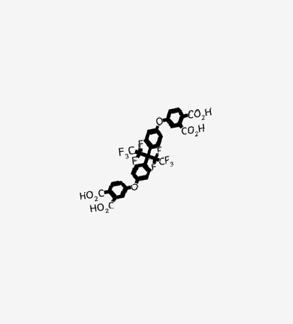 O=C(O)c1ccc(Oc2ccc(C(c3ccc(Oc4ccc(C(=O)O)c(C(=O)O)c4)cc3)(C(F)(F)C(F)(F)F)C(F)(F)C(F)(F)F)cc2)cc1C(=O)O